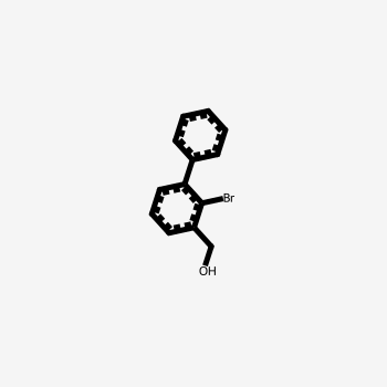 OCc1cccc(-c2ccccc2)c1Br